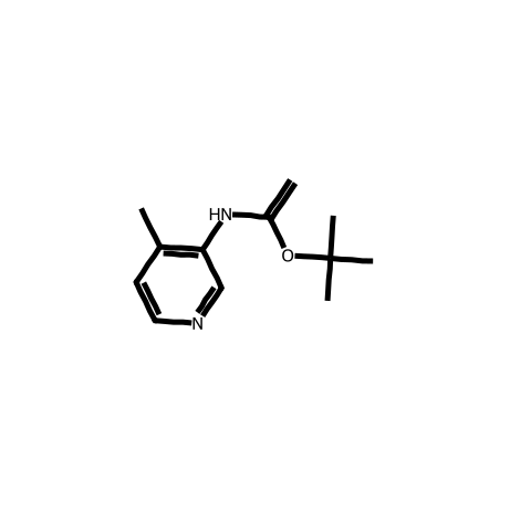 C=C(Nc1cnccc1C)OC(C)(C)C